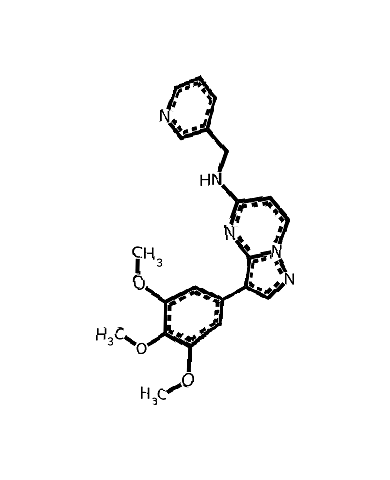 COc1cc(-c2cnn3ccc(NCc4cccnc4)nc23)cc(OC)c1OC